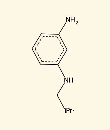 C[C](C)CNc1cccc(N)c1